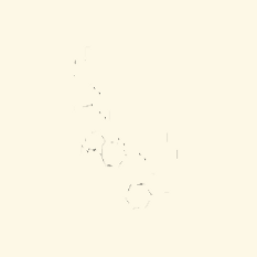 O=C(Nc1cnn2ccc(N3CC(F)(F)C[C@@H]3c3cc(F)ccc3F)nc12)N[C@H]1C[C@H]1F